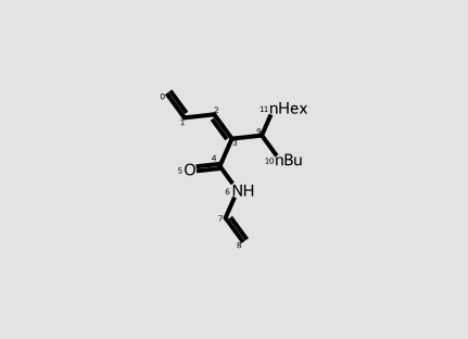 C=C/C=C(\C(=O)NC=C)C(CCCC)CCCCCC